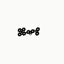 c1ccc(C2(c3ccccc3)c3ccccc3-c3ccc(-c4ccc5c(c4)oc4cc(-n6c7ccccc7c7ccccc76)ccc45)cc32)cc1